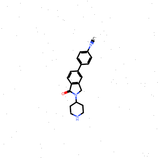 [C-]#[N+]c1ccc(-c2ccc3c(c2)CN(C2CCNCC2)C3=O)cc1